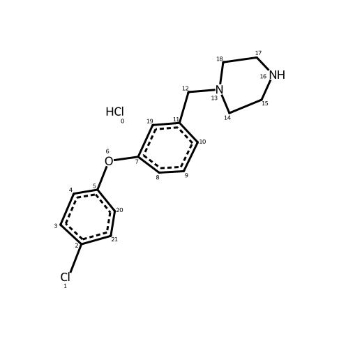 Cl.Clc1ccc(Oc2cccc(CN3CCNCC3)c2)cc1